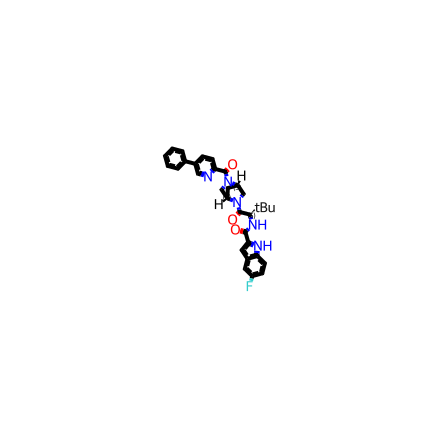 CC(C)(C)[C@H](NC(=O)c1cc2cc(F)ccc2[nH]1)C(=O)N1C[C@@H]2C[C@H]1CN2C(=O)c1ccc(-c2ccccc2)cn1